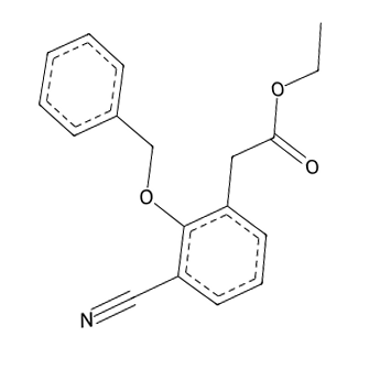 CCOC(=O)Cc1cccc(C#N)c1OCc1ccccc1